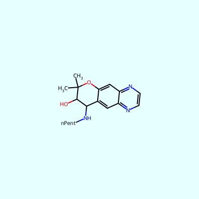 CCCCCNC1c2cc3nccnc3cc2OC(C)(C)C1O